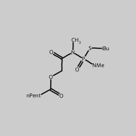 CCCCCC(=O)OCC(=O)N(C)P(=O)(NC)SC(C)CC